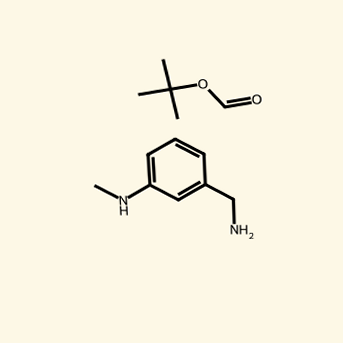 CC(C)(C)OC=O.CNc1cccc(CN)c1